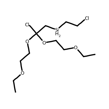 CCOCCOC(Cl)(C[SiH2]CCCl)OCCOCC